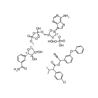 CC(C)C(C(=O)OC(C#N)c1cccc(Oc2ccccc2)c1)c1ccc(Cl)cc1.NC(=O)c1ccc[n+]([C@@H]2O[C@H](COP(=O)([O-])OP(=O)(O)OC[C@H]3O[C@@H](n4cnc5c(N)ncnc54)[C@H](OP(=O)(O)O)[C@@H]3O)[C@@H](O)[C@H]2O)c1